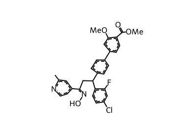 COC(=O)c1ccc(-c2ccc(C(C/C(=N/O)c3ccnc(C)c3)c3ccc(Cl)cc3F)cc2)cc1OC